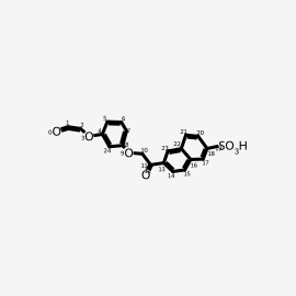 O=C=COc1cccc(OCC(=O)c2ccc3cc(S(=O)(=O)O)ccc3c2)c1